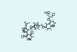 OCC(CCl)Oc1ccnc2ccc(OCC34CCC(OCc5c(-c6c(Cl)cncc6Cl)noc5C5CC5)(CC3)CC4)cc12